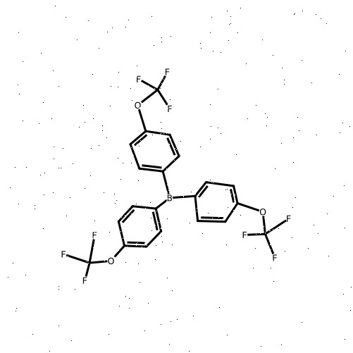 FC(F)(F)Oc1ccc(B(c2ccc(OC(F)(F)F)cc2)c2ccc(OC(F)(F)F)cc2)cc1